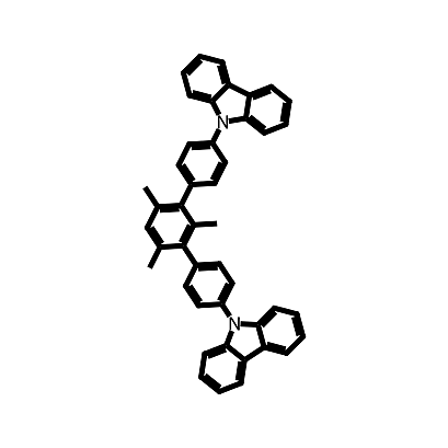 Cc1cc(C)c(-c2ccc(-n3c4ccccc4c4ccccc43)cc2)c(C)c1-c1ccc(-n2c3ccccc3c3ccccc32)cc1